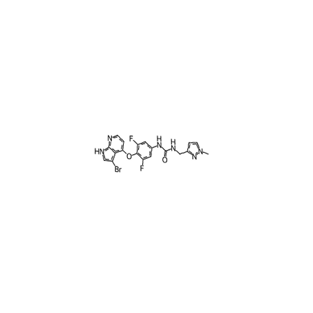 Cn1ccc(CNC(=O)Nc2cc(F)c(Oc3ccnc4[nH]cc(Br)c34)c(F)c2)n1